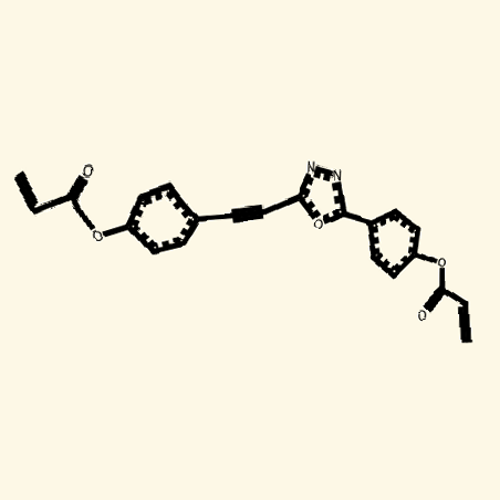 C=CC(=O)Oc1ccc(C#Cc2nnc(-c3ccc(OC(=O)C=C)cc3)o2)cc1